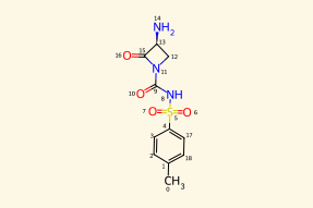 Cc1ccc(S(=O)(=O)NC(=O)N2C[C@H](N)C2=O)cc1